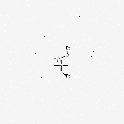 CCO[SiH2][Si](C)(C)OCC